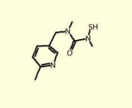 Cc1ccc(CN(C)C(=O)N(C)S)cn1